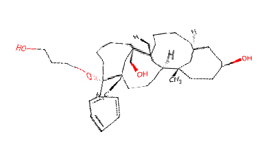 C[C@]12CC[C@H](O)C[C@@H]1CC[C@@H]1[C@@H]2CC[C@]2(C)[C@@](OCCCO)(c3ccccc3)CC[C@]12O